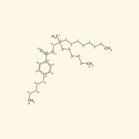 CCCCCCCCC(C)(CCCCCC)COC(=O)c1ccc(CCCCC)cc1